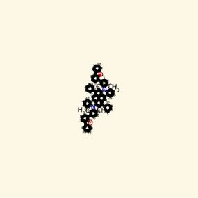 Cc1ccc(-c2cccc3c2oc2ccccc23)c(C)c1N(c1ccccc1)c1cc(C2CCCCC2)c2ccc3c(N(c4ccccc4)c4c(C)ccc(-c5cccc6c5oc5ccccc56)c4C)cc(C4CCCCC4)c4ccc1c2c43